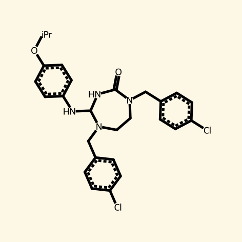 CC(C)Oc1ccc(NC2NC(=O)N(Cc3ccc(Cl)cc3)CCN2Cc2ccc(Cl)cc2)cc1